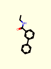 CCNC(=O)c1cccc(-c2ccccc2)c1